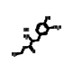 Cl.N[C@@H](Cc1ccc(O)c(C(=O)O)c1)C(=O)OCC(F)(F)F